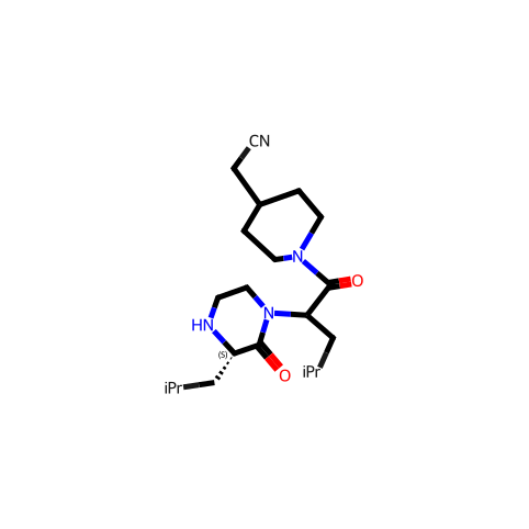 CC(C)CC(C(=O)N1CCC(CC#N)CC1)N1CCN[C@@H](CC(C)C)C1=O